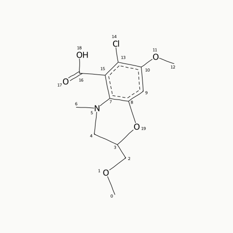 COCC1CN(C)c2c(cc(OC)c(Cl)c2C(=O)O)O1